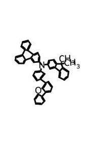 CC1(C)c2ccccc2-c2cc(N(c3cccc(-c4cccc5c4oc4ccccc45)c3)c3ccc4c5ccccc5c5ccccc5c4c3)ccc21